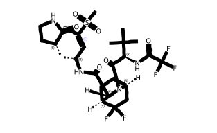 CC(C)(C)[C@@H](NC(=O)C(F)(F)F)C(=O)N1[C@H]2CC[C@@H]([C@@H]1C(=O)N[C@@H](/C=C(\F)S(C)(=O)=O)C[C@@H]1CCNC1=O)C(F)(F)C2